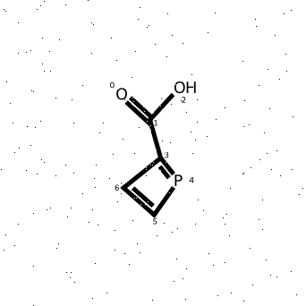 O=C(O)C1=PC=C1